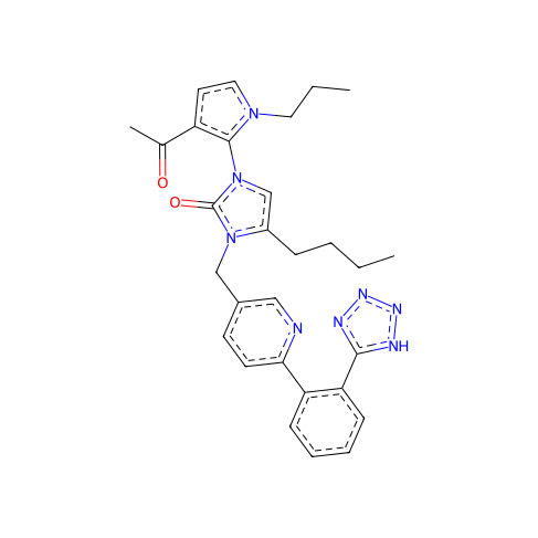 CCCCc1cn(-c2c(C(C)=O)ccn2CCC)c(=O)n1Cc1ccc(-c2ccccc2-c2nnn[nH]2)nc1